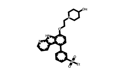 CCS(=O)(=O)c1cccc(-c2ccc(OCCN3CCC(O)CC3)c3[nH]c4ncccc4c23)c1